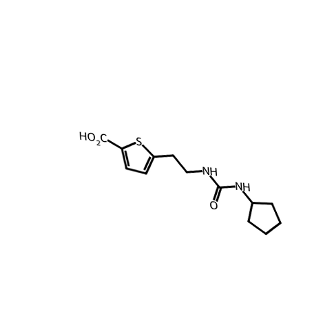 O=C(NCCc1ccc(C(=O)O)s1)NC1CCCC1